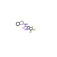 O=C(NC1CCc2ccccc2C1)c1cc2sc(Cl)c(Cl)c2[nH]1